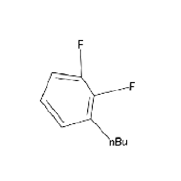 CCCCc1cccc(F)c1F